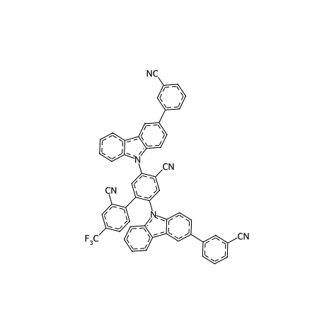 N#Cc1cccc(-c2ccc3c(c2)c2ccccc2n3-c2cc(-c3ccc(C(F)(F)F)cc3C#N)c(-n3c4ccccc4c4cc(-c5cccc(C#N)c5)ccc43)cc2C#N)c1